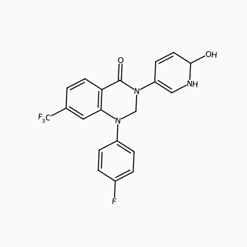 O=C1c2ccc(C(F)(F)F)cc2N(c2ccc(F)cc2)CN1C1=CNC(O)C=C1